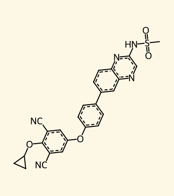 CS(=O)(=O)Nc1cnc2cc(-c3ccc(Oc4cc(C#N)c(OC5CC5)c(C#N)c4)cc3)ccc2n1